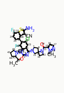 C[C@H](Oc1nc(N2CCC3(CCN3C(=O)c3ccnn3C)C2)c2cc(Cl)c(-c3ccc(F)c4sc(N)c(C#N)c34)c(F)c2n1)C1CCCN1C